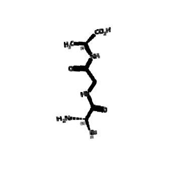 CC[C@H](C)[C@H](N)C(=O)NCC(=O)N[C@@H](C)C(=O)O